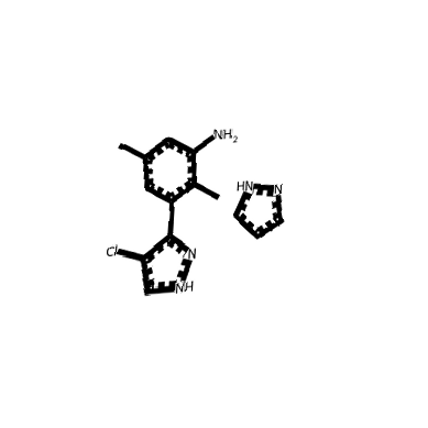 Cc1cc(N)c(C)c(-c2n[nH]cc2Cl)c1.c1cn[nH]c1